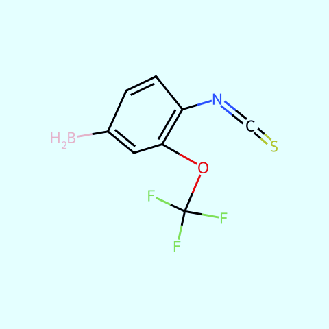 Bc1ccc(N=C=S)c(OC(F)(F)F)c1